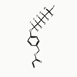 C=CC(=O)OCc1ccc(OC(F)(F)C(F)(F)C(F)(F)C(F)(F)C(F)(F)F)cc1